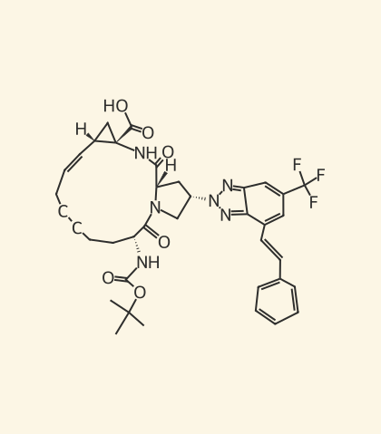 CC(C)(C)OC(=O)N[C@@H]1CCCCC/C=C\[C@@H]2C[C@]2(C(=O)O)NC(=O)[C@@H]2C[C@H](n3nc4cc(C(F)(F)F)cc(/C=C/c5ccccc5)c4n3)CN2C1=O